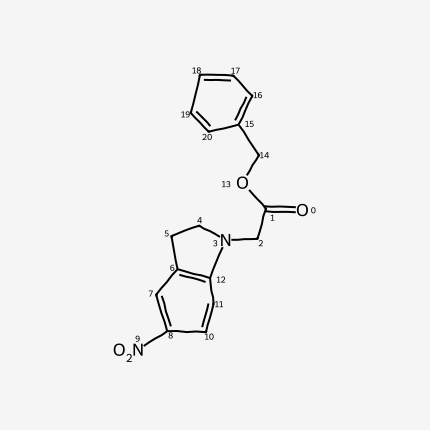 O=C(CN1CCc2cc([N+](=O)[O-])ccc21)OCc1ccccc1